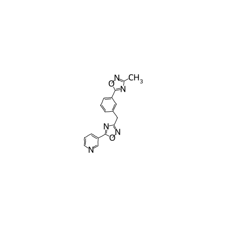 Cc1noc(-c2cccc(Cc3noc(-c4cccnc4)n3)c2)n1